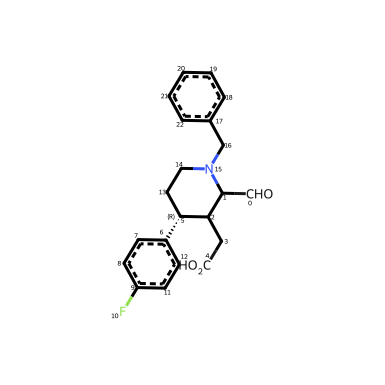 O=CC1C(CC(=O)O)[C@H](c2ccc(F)cc2)CCN1Cc1ccccc1